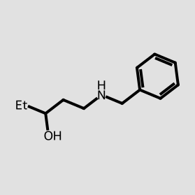 CCC(O)CCNCc1ccccc1